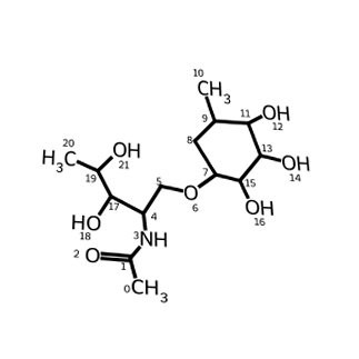 CC(=O)NC(COC1CC(C)C(O)C(O)C1O)C(O)C(C)O